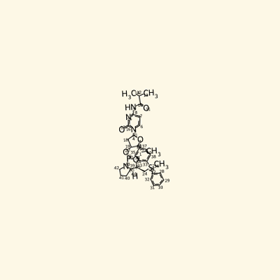 CC[C@H]1O[C@@H](n2ccc(NC(=O)C(C)C)nc2=O)CC1O[P@]1O[C@@H](C[Si](C)(c2ccccc2)c2ccccc2)[C@H]2CCCN21